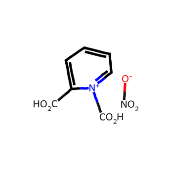 O=C(O)c1cccc[n+]1C(=O)O.O=[N+]([O-])[O-]